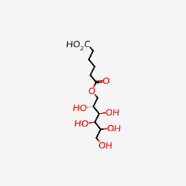 O=C(O)CCCCC(=O)OC[C@@H](O)[C@@H](O)[C@H](O)C(O)CO